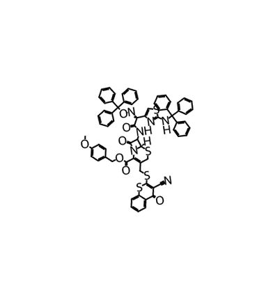 COc1ccc(COC(=O)C2=C(CSc3sc4ccccc4c(=O)c3C#N)CS[C@H]3C(NC(=O)/C(=N\OC(c4ccccc4)(c4ccccc4)c4ccccc4)c4csc(NC(c5ccccc5)(c5ccccc5)c5ccccc5)n4)C(=O)N23)cc1